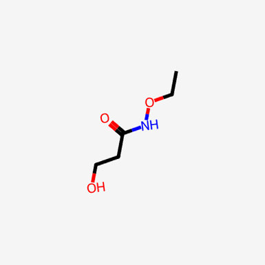 CCONC(=O)CCO